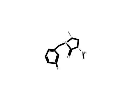 CN[C@H]1C[C@@H](C)N(Cc2cccc(F)c2)C1=O